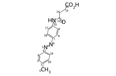 Cc1ccc(N=Nc2ccc(NC(=O)CCC(=O)O)cc2)cc1